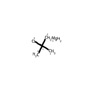 CC(C)(C)Cl.[MgH2]